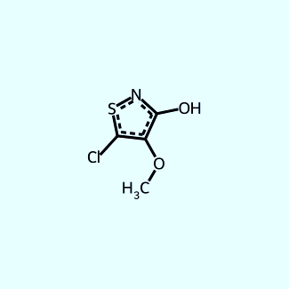 COc1c(O)nsc1Cl